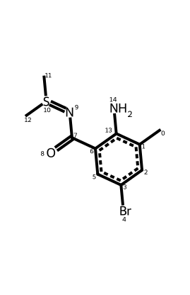 Cc1cc(Br)cc(C(=O)N=S(C)C)c1N